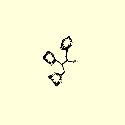 NC(c1ncco1)C(Cc1ncco1)c1ncco1